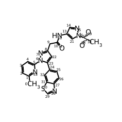 Cc1cccc(-n2nc(CC(=O)Nc3cnn(S(C)(=O)=O)c3)cc2-c2ccc3ncsc3c2)n1